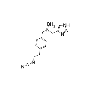 BN(Cc1ccc(CCN=[N+]=[N-])cc1)Cc1c[nH]nn1